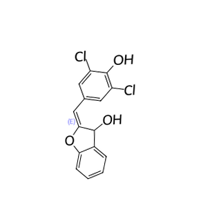 Oc1c(Cl)cc(/C=C2/Oc3ccccc3C2O)cc1Cl